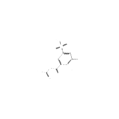 CS(=O)(=O)c1cc(Cl)cc(C(=O)NC(=N)N)c1.Cl